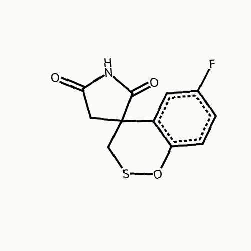 O=C1CC2(CSOc3ccc(F)cc32)C(=O)N1